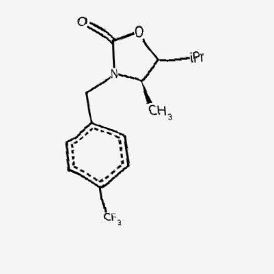 CC(C)C1OC(=O)N(Cc2ccc(C(F)(F)F)cc2)[C@@H]1C